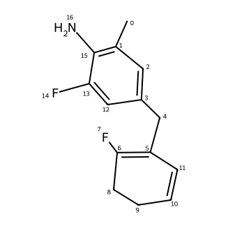 Cc1cc(CC2=C(F)CCC=C2)cc(F)c1N